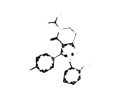 CC(C)N1CCc2nn(-c3ccccc3Cl)c(-c3ccc(Cl)cc3)c2C1=O